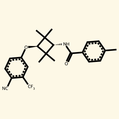 Cc1ccc(C(=O)N[C@H]2C(C)(C)[C@H](Oc3ccc(C#N)c(C(F)(F)F)c3)C2(C)C)cc1